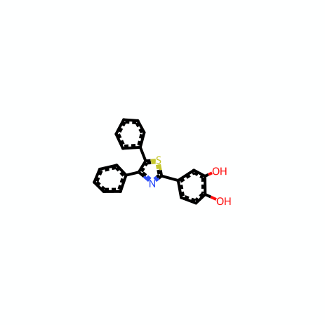 Oc1ccc(-c2nc(-c3ccccc3)c(-c3ccccc3)s2)cc1O